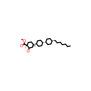 CCCCCCC[C@H]1CC[C@H](C2CCC([C@@H]3CC[C@](C)(C(=O)OC)C(=O)C3)CC2)CC1